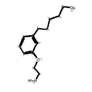 CNCCOc1cccc(CCCCCO)c1